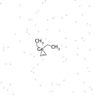 C[CH2][Ge]1([CH2]C)[CH]=[CH]1